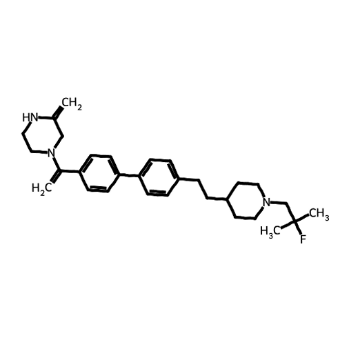 C=C1CN(C(=C)c2ccc(-c3ccc(CCC4CCN(CC(C)(C)F)CC4)cc3)cc2)CCN1